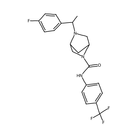 CC(c1ccc(F)cc1)N1CC2CC1CN2C(=O)Nc1ccc(C(F)(F)F)cc1